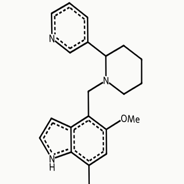 COc1cc(C)c2[nH]ccc2c1CN1CCCCC1c1cccnc1